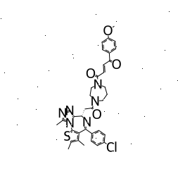 COc1ccc(C(=O)/C=C/C(=O)N2CCCN(C(=O)C[C@@H]3N=C(c4ccc(Cl)cc4)c4c(sc(C)c4C)-n4c(C)nnc43)CC2)cc1